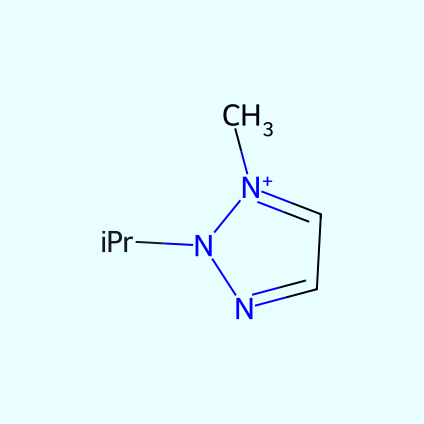 CC(C)n1ncc[n+]1C